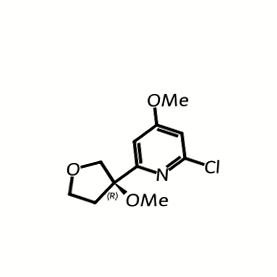 COc1cc(Cl)nc([C@]2(OC)CCOC2)c1